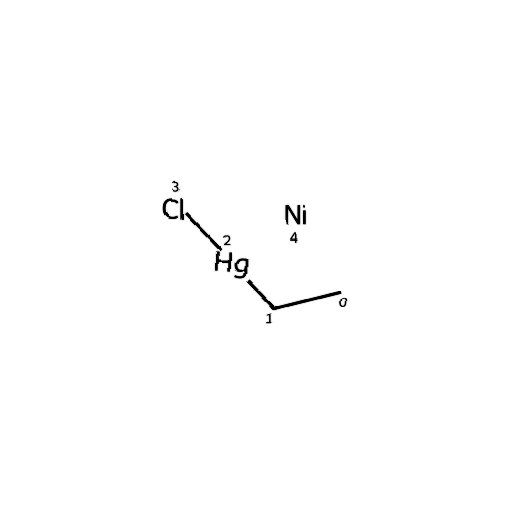 C[CH2][Hg][Cl].[Ni]